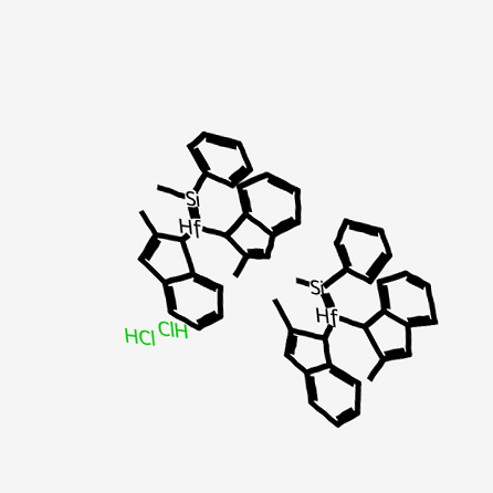 CC1=Cc2ccccc2[CH]1[Hf]([CH]1C(C)=Cc2ccccc21)=[Si](C)c1ccccc1.CC1=Cc2ccccc2[CH]1[Hf]([CH]1C(C)=Cc2ccccc21)=[Si](C)c1ccccc1.Cl.Cl